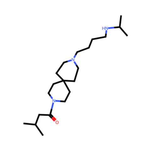 CC(C)CC(=O)N1CCC2(CCN(CCCCNC(C)C)CC2)CC1